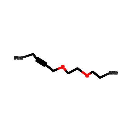 CCCC(C)CC#CCOCCOCCNC